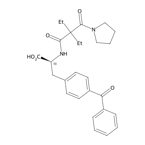 CCC(CC)(C(=O)N[C@@H](Cc1ccc(C(=O)c2ccccc2)cc1)C(=O)O)C(=O)N1CCCC1